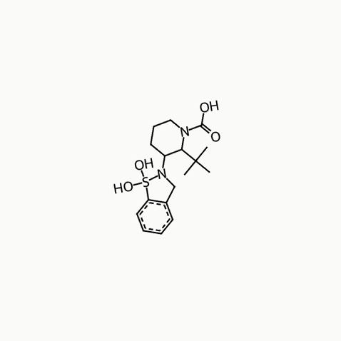 CC(C)(C)C1C(N2Cc3ccccc3S2(O)O)CCCN1C(=O)O